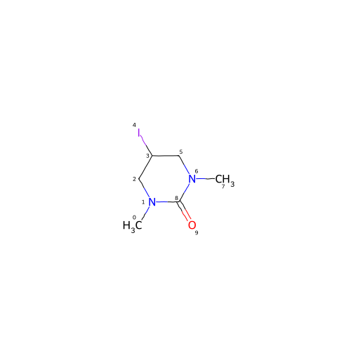 CN1CC(I)CN(C)C1=O